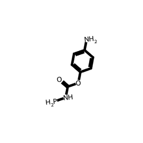 Nc1ccc(OC(=O)NP)cc1